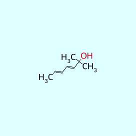 CC=CC=CC(C)(C)O